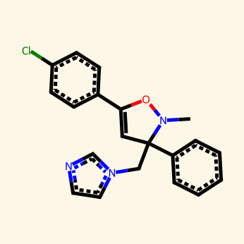 CN1OC(c2ccc(Cl)cc2)=CC1(Cn1ccnc1)c1ccccc1